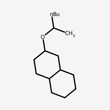 CCCCC(C)OC1CCC2CCCCC2C1